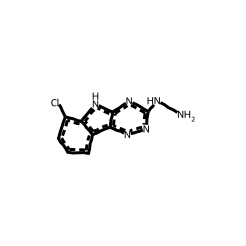 NNc1nnc2c(n1)[nH]c1c(Cl)cccc12